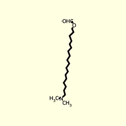 CN(C)CCCCCCCCCCCCCCCCCCO[C]=O